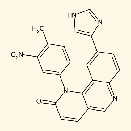 Cc1ccc(-n2c(=O)ccc3cnc4ccc(-c5c[nH]cn5)cc4c32)cc1[N+](=O)[O-]